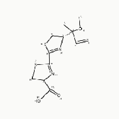 C=CC(C)(OC)[C@H]1CSC(C2=NC(C(=O)O)CS2)=N1